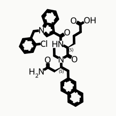 CCN(C(=O)[C@H](CCCC(=O)O)NC(=O)c1cn(Cc2ccccc2Cl)c2ccccc12)[C@H](CC(N)=O)Cc1ccc2ccccc2c1